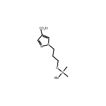 CCOC(=O)c1cnn(CCCO[Si](C)(C)C(C)(C)C)c1